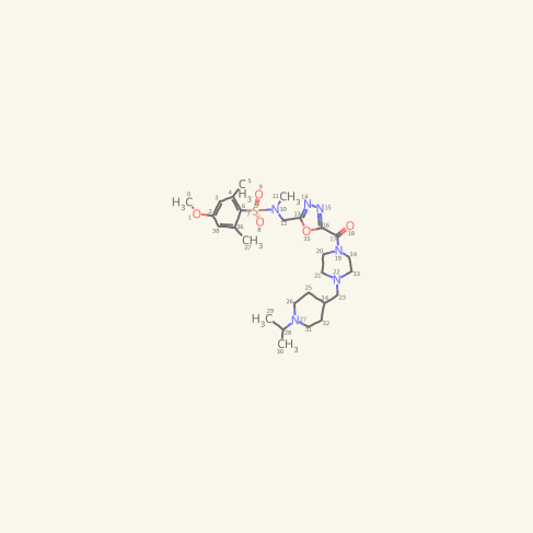 COc1cc(C)c(S(=O)(=O)N(C)Cc2nnc(C(=O)N3CCN(CC4CCN(C(C)C)CC4)CC3)o2)c(C)c1